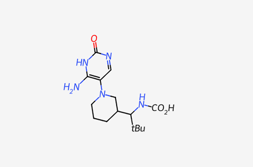 CC(C)(C)C(NC(=O)O)C1CCCN(c2cnc(=O)[nH]c2N)C1